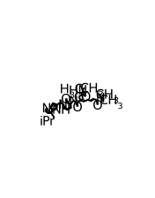 CC(C)Cc1ccnc2cc(Cn3cccc(NC(=O)C(CCC=CC(=O)N(C)C)OC(=O)N(C)C)c3=O)[nH]c12